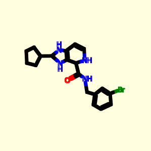 O=C(NCc1cccc(Br)c1)C1NC=CC2=C1NC(C1CCCC1)N2